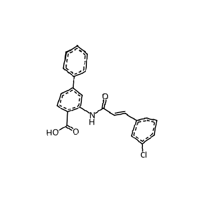 O=C(C=Cc1cccc(Cl)c1)Nc1cc(-c2ccccc2)ccc1C(=O)O